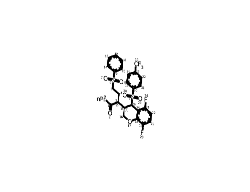 CCCC(=O)[C@@H](CCS(=O)(=O)c1ccccc1)[C@@H]1COc2c(F)ccc(F)c2C1S(=O)(=O)c1ccc(C(F)(F)F)cc1